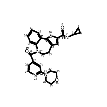 O=C(NC1CC1)c1cc2c(s1)-c1ccccc1N(C(=O)c1ccnc(N3CCOCC3)c1)CC2